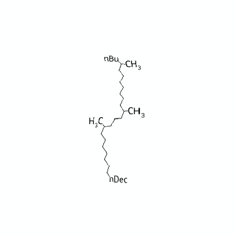 CCCCCCCCCCCCCCCCCC(C)CCCC(C)CCCCCCCC(C)CCCC